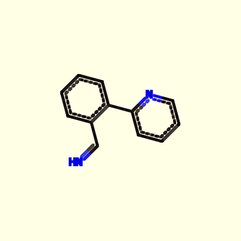 N=Cc1ccccc1-c1ccccn1